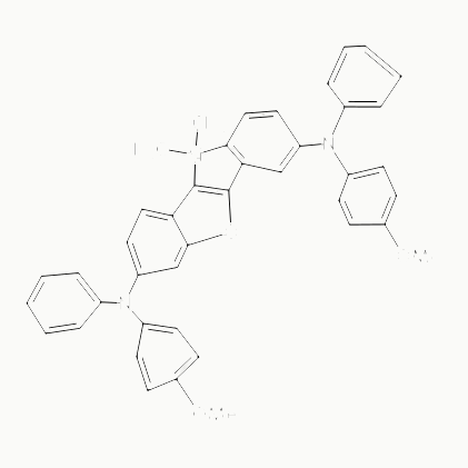 COc1ccc(N(c2ccccc2)c2ccc3c(c2)-c2oc4cc(N(c5ccccc5)c5ccc(OC)cc5)ccc4c2[Si]3(C)C)cc1